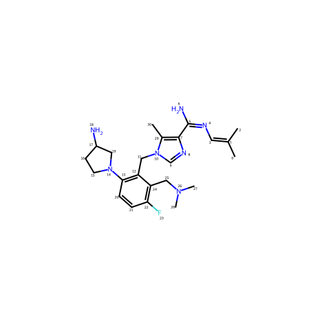 CC(C)=C/N=C(/N)c1ncn(Cc2c(N3CCC(N)C3)ccc(F)c2CN(C)C)c1C